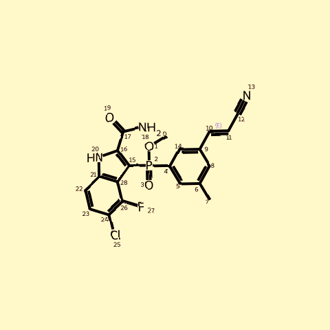 COP(=O)(c1cc(C)cc(/C=C/C#N)c1)c1c(C(N)=O)[nH]c2ccc(Cl)c(F)c12